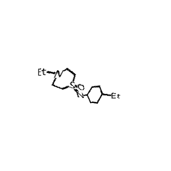 CCC1CCC(N=S2(=O)CCN(CC)CC2)CC1